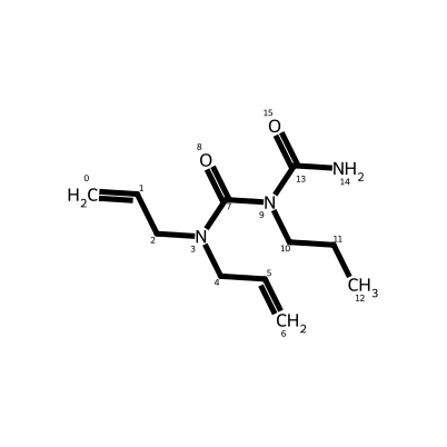 C=CCN(CC=C)C(=O)N(CCC)C(N)=O